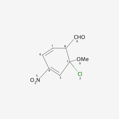 COC1(Cl)C=C([N+](=O)[O-])C=CC1C=O